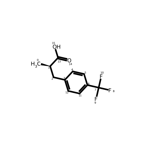 C[C@H](Cc1ccc(C(F)(F)F)cc1)C(=O)O